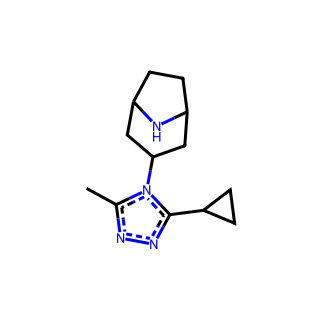 Cc1nnc(C2CC2)n1C1CC2CCC(C1)N2